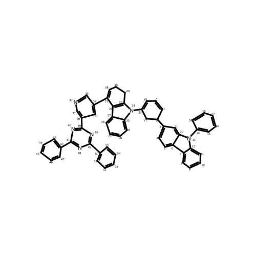 C1=CC(c2ccc3c4ccccc4n(-c4ccccc4)c3c2)CC(n2c3c(c4ccccc42)C(c2cncc(-c4nc(-c5ccccc5)nc(-c5ccccc5)n4)c2)=CCC3)=C1